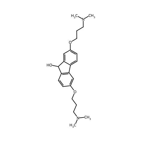 CN(C)CCCOc1ccc2c(c1)-c1ccc(OCCCN(C)C)cc1C2O